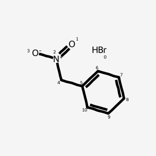 Br.O=[N+]([O-])Cc1ccccc1